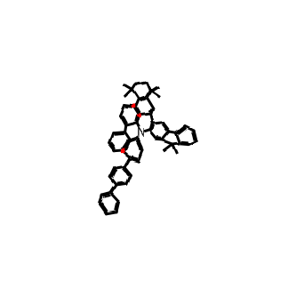 CC1(C)CCC(C)(C)c2cc(-c3cc4c(cc3N(c3ccc(-c5ccc(-c6ccccc6)cc5)cc3)c3ccccc3-c3ccccc3)C(C)(C)c3ccccc3-4)ccc21